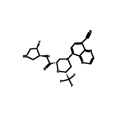 N#Cc1ccc(N2C[C@@H](C(=O)N[C@H]3CNC[C@H]3F)O[C@@H](C(F)(F)F)C2)c2nccnc12